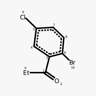 CCC(=O)c1cc(Cl)ccc1Br